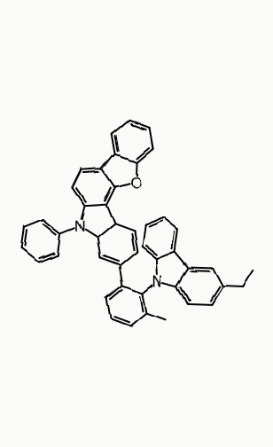 CCc1ccc2c(c1)c1ccccc1n2-c1c(C)cccc1C1=CC2C(C=C1)c1c(ccc3c1oc1ccccc13)N2c1ccccc1